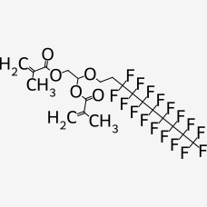 C=C(C)C(=O)OCC(OCCC(F)(F)C(F)(F)C(F)(F)C(F)(F)C(F)(F)C(F)(F)C(F)(F)C(F)(F)F)OC(=O)C(=C)C